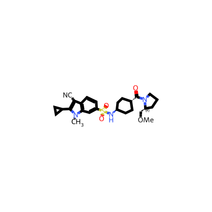 COC[C@H]1CCCN1C(=O)[C@H]1CC[C@H](NS(=O)(=O)c2ccc3c(C#N)c(C4CC4)n(C)c3c2)CC1